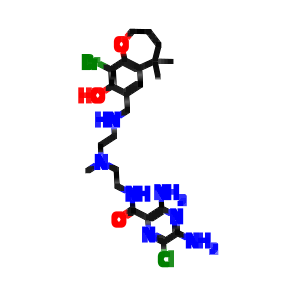 CN(CCNCc1cc2c(c(Br)c1O)OCCCC2(C)C)CCNC(=O)c1nc(Cl)c(N)nc1N